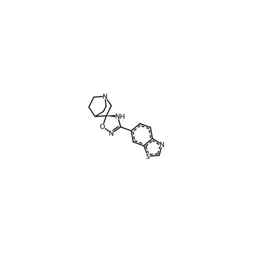 c1nc2ccc(C3=NO[C@]4(CN5CCC4CC5)N3)cc2s1